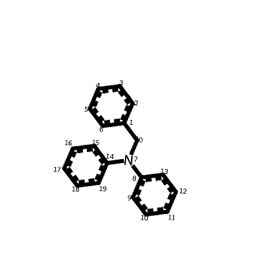 [CH](c1ccccc1)N(c1ccccc1)c1ccccc1